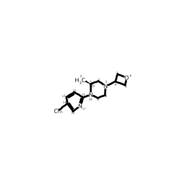 C[C@H]1CN(C2COC2)CCN1c1ccc(Cl)cn1